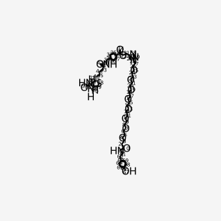 O=C(CCOCCOCCOCCOCCOCCOCCOCCOCCn1cc(COC(=O)c2ccc(CNC(=O)CCCC[C@@H]3SC[C@@H]4NC(=O)N[C@@H]43)cc2)nn1)NCCc1ccc(O)cc1